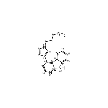 NCCCn1ccc(-c2ccnc3[nH]c4ccccc4c23)c1